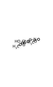 Cc1ccc(OC(=O)N(Cc2ccc(OCCc3nc(-c4ccccc4)oc3C)cc2)C2(C(=O)O)CC2)cc1